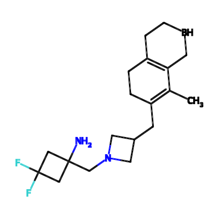 CC1=C(CC2CN(CC3(N)CC(F)(F)C3)C2)CCC2=C1CBCC2